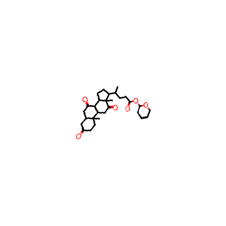 CC(CCC(=O)OC1CCCCO1)C1CCC2C3C(=O)CC4CC(=O)CCC4(C)C3CC(=O)C12C